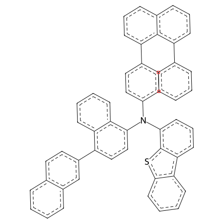 c1ccc(-c2cccc3cccc(-c4ccc(N(c5ccc(-c6ccc7ccccc7c6)c6ccccc56)c5cccc6c5sc5ccccc56)cc4)c23)cc1